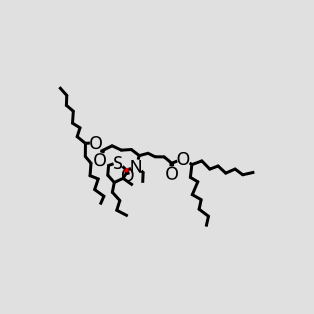 CCCCCCCC(CCCCCCC)OC(=O)CCCC(CCCC(=O)OC(CCCCCCC)CCCCCCC)N(CC)C(=O)SCCC(CCCC)C(C)C